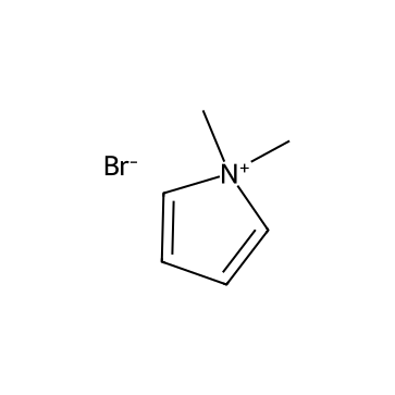 C[N+]1(C)C=CC=C1.[Br-]